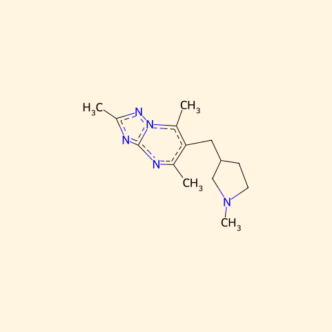 Cc1nc2nc(C)c(CC3CCN(C)C3)c(C)n2n1